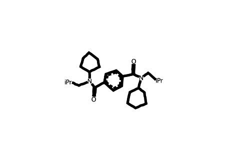 CC(C)CN(C(=O)c1ccc(C(=O)N(CC(C)C)C2CCCCC2)cc1)C1CCCCC1